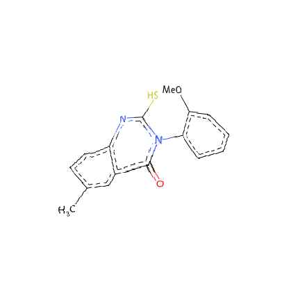 COc1ccccc1-n1c(S)nc2ccc(C)cc2c1=O